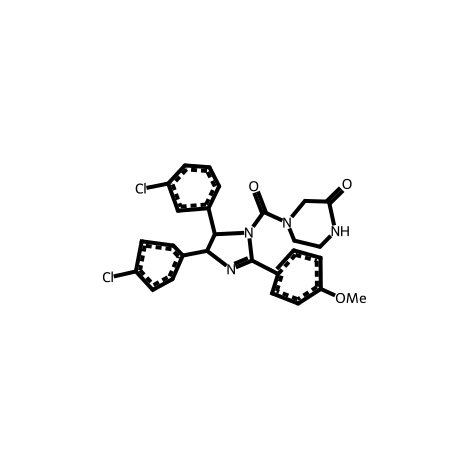 COc1ccc(C2=NC(c3ccc(Cl)cc3)C(c3cccc(Cl)c3)N2C(=O)N2CCNC(=O)C2)cc1